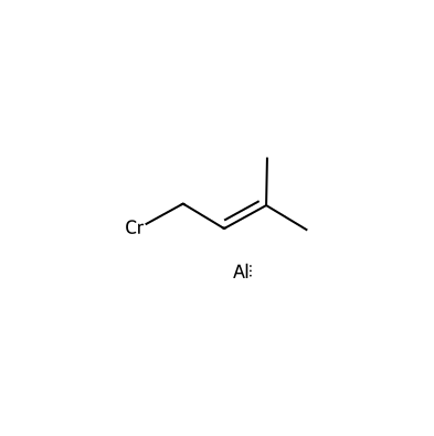 CC(C)=C[CH2][Cr].[Al]